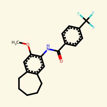 COc1cc2c(cc1NC(=O)c1ccc(C(F)(F)F)cc1)CCCCC2